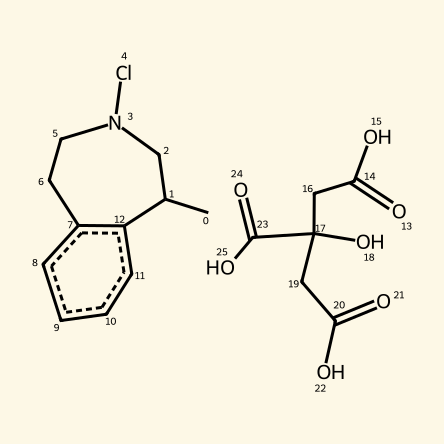 CC1CN(Cl)CCc2ccccc21.O=C(O)CC(O)(CC(=O)O)C(=O)O